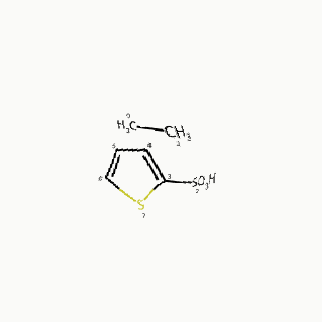 CC.O=S(=O)(O)c1cccs1